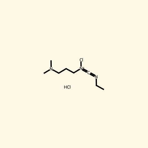 CCN=C=[N+](Cl)CCCN(C)C.Cl